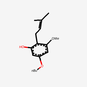 CCCCOc1cc(O)c(CC=C(C)C)c(OC)c1